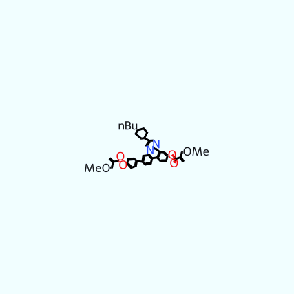 C=C(COC)C(=O)Oc1ccc(-c2ccc(-c3ccc(OC(=O)C(=C)COC)cc3-c3ncc(C4CCC(CCCC)CC4)cn3)cc2)cc1